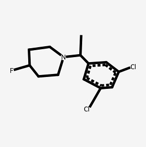 CC(c1cc(Cl)cc(Cl)c1)N1CCC(F)CC1